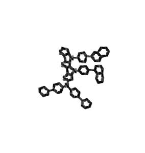 c1ccc(-c2ccc(N(c3ccc(-c4ccccc4)cc3)c3cc4c(s3)c3sc5c6sccc6n(-c6ccc(-c7ccc8ccccc8c7)cc6)c5c3n4-c3ccc(-c4cccc5ccccc45)cc3)cc2)cc1